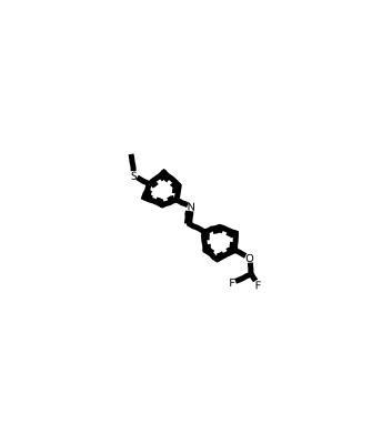 CSc1ccc(N=Cc2ccc(OC(F)F)cc2)cc1